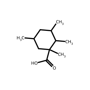 CC1CC(C)C(C)C(C)(C(=O)O)C1